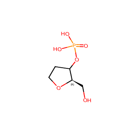 O=P(O)(O)OC1CCO[C@@H]1CO